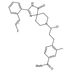 CNC(=O)c1ccc(CC[S+]([O-])N2CCC3(CC2)N=C(c2ccccc2/C=C/F)NC3=O)c(C)c1